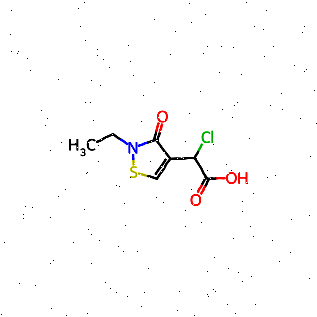 CCn1scc(C(Cl)C(=O)O)c1=O